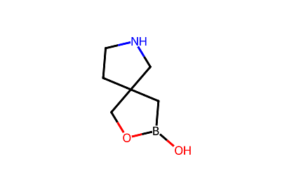 OB1CC2(CCNC2)CO1